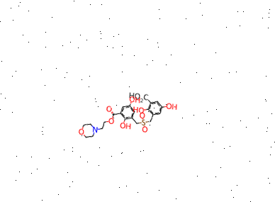 O=C(O)c1cc(O)cc(CS(=O)(=O)Cc2cc(O)cc(C(=O)OCCN3CCOCC3)c2O)c1O